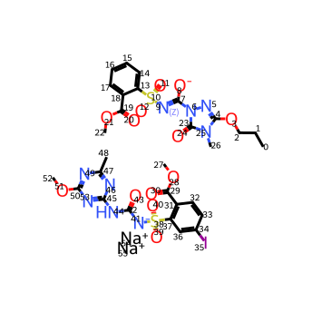 CCCOc1nn(/C([O-])=N/S(=O)(=O)c2ccccc2C(=O)OC)c(=O)n1C.COC(=O)c1ccc(I)cc1S(=O)(=O)[N-]C(=O)Nc1nc(C)nc(OC)n1.[Na+].[Na+]